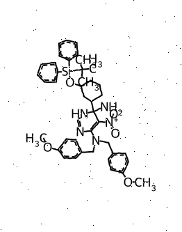 COc1ccc(CN(Cc2ccc(OC)cc2)C2=C([N+](=O)[O-])C(N)(C3CCCC(O[Si](c4ccccc4)(c4ccccc4)C(C)(C)C)C3)NC=N2)cc1